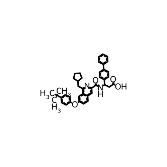 CC(C)(C)c1ccc(Oc2ccc3cc(C(=O)NC(CC(=O)O)c4ccc(-c5ccccc5)cc4)nc(CC4CCCC4)c3c2)cc1